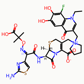 CCn1cc(C[N+]2(CC3=C(C(=O)[O-])N4C(=O)[C@@H](NC(=O)/C(=N\OC(C)(C)C(=O)O)c5csc(N)n5)[C@H]4SC3)CCCC2)c(=O)c2cc(O)c(O)c(F)c21